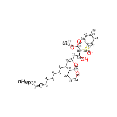 CCCCCCCC=C=CCCCCCCCC(CC(O)[C@@H](C(=O)OC(C)(C)C)[S+]([O-])c1ccc(C)cc1)OC1CCCCO1